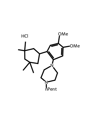 CCCCCN1CCN(c2cc(OC)c(OC)cc2C2CC(C)(C)CC(C)(C)C2)CC1.Cl